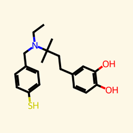 CCN(Cc1ccc(S)cc1)C(C)(C)CCc1ccc(O)c(O)c1